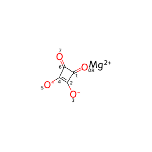 O=c1c([O-])c([O-])c1=O.[Mg+2]